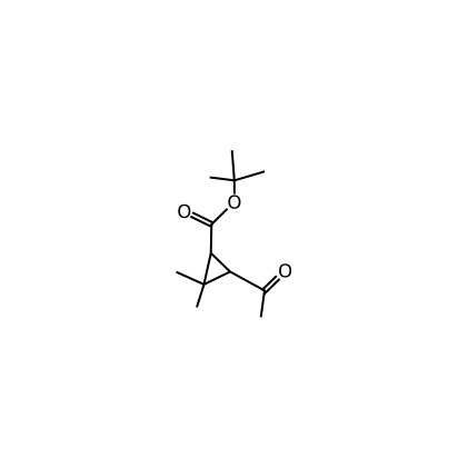 CC(=O)C1C(C(=O)OC(C)(C)C)C1(C)C